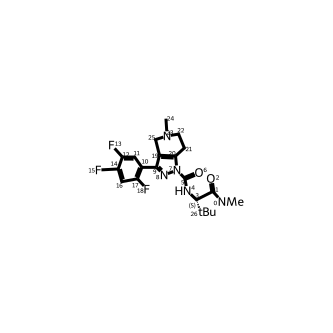 CNC(=O)[C@@H](NC(=O)n1nc(-c2cc(F)c(F)cc2F)c2c1CCN(C)C2)C(C)(C)C